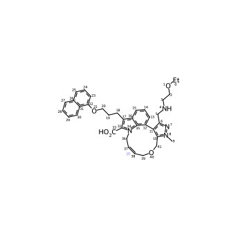 CCOCCNCc1nn(C)c2c1-c1cccc3c(CCCOc4cccc5ccccc45)c(C(=O)O)n(c13)C/C=C\COC2